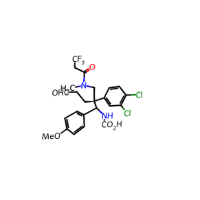 COc1ccc(C(NC(=O)O)[C@](CCC=O)(CN(C)C(=O)CC(F)(F)F)c2ccc(Cl)c(Cl)c2)cc1